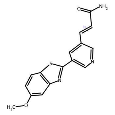 COc1ccc2sc(-c3cncc(/C=C/C(N)=O)c3)nc2c1